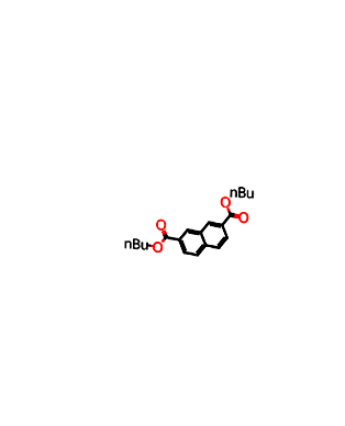 CCCCOC(=O)c1ccc2ccc(C(=O)OCCCC)cc2c1